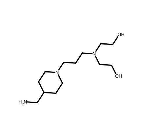 NCC1CCN(CCCN(CCO)CCO)CC1